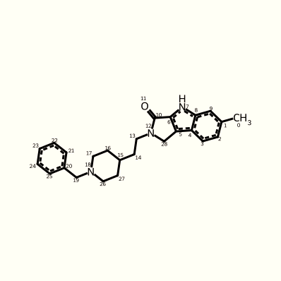 Cc1ccc2c3c([nH]c2c1)C(=O)N(CCC1CCN(Cc2ccccc2)CC1)C3